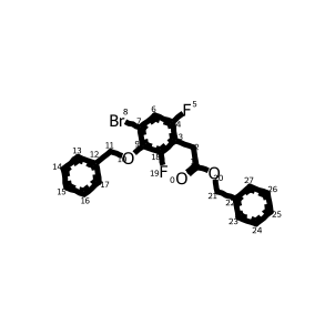 O=C(Cc1c(F)cc(Br)c(OCc2ccccc2)c1F)OCc1ccccc1